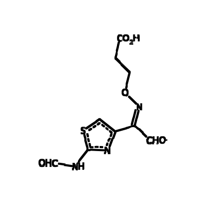 O=[C]/C(=N/OCCC(=O)O)c1csc(NC=O)n1